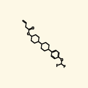 C=CCC(=O)OC1CCC(C2CCC(c3ccc(OC(F)F)cc3)CC2)CC1